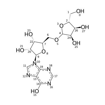 OC[C@H]1OC(OC[C@H]2O[C@@H](n3cnc4c(O)ncnc43)[C@H](O)[C@@H]2O)[C@H](O)[C@@H]1O